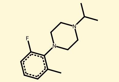 Cc1cccc(F)c1N1CCN(C(C)C)CC1